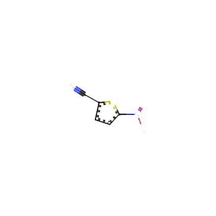 N#Cc1ccc([N+](=O)O)s1